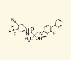 CC(O)(Cn1ccc2c(F)c(-c3ccccc3)ccc21)C(=O)Nc1ccc(C#N)c(C(F)(F)F)c1